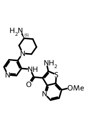 COc1ccnc2c(C(=O)Nc3cnccc3N3CCC[C@H](N)C3)c(N)sc12